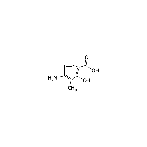 Cc1c(N)ccc(C(=O)O)c1O